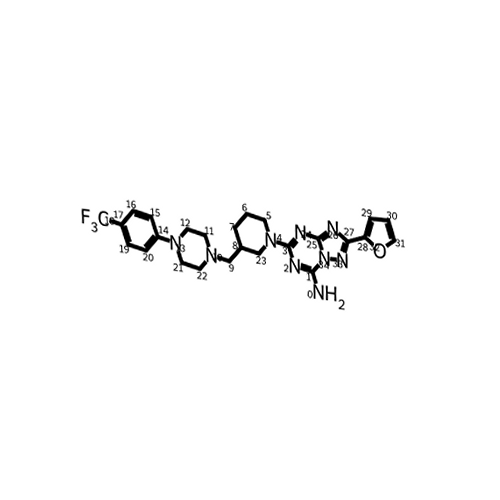 Nc1nc(N2CCCC(CN3CCN(c4ccc(C(F)(F)F)cc4)CC3)C2)nc2nc(-c3ccco3)nn12